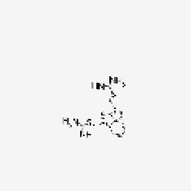 N=C(N)SCC1=C2SC(CSC(=N)N)=C3C=CC=CC32CC=C1